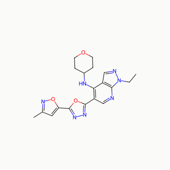 CCn1ncc2c(NC3CCOCC3)c(-c3nnc(-c4cc(C)no4)o3)cnc21